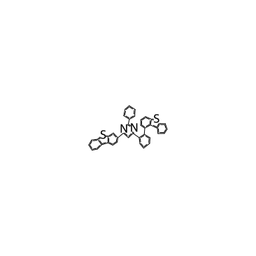 c1ccc(-c2nc(-c3ccc4c(c3)sc3ccccc34)cc(-c3ccccc3-c3cccc4sc5ccccc5c34)n2)cc1